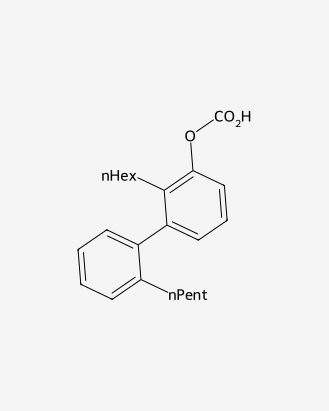 CCCCCCc1c(OC(=O)O)cccc1-c1ccccc1CCCCC